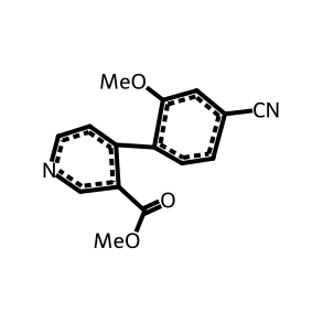 COC(=O)c1cnccc1-c1ccc(C#N)cc1OC